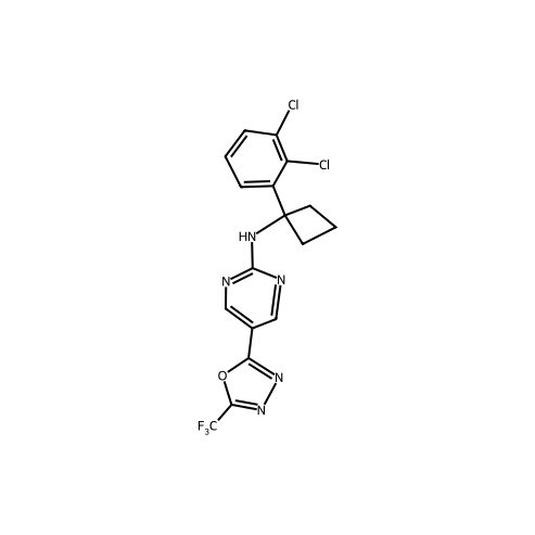 FC(F)(F)c1nnc(-c2cnc(NC3(c4cccc(Cl)c4Cl)CCC3)nc2)o1